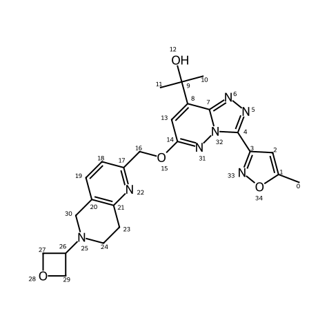 Cc1cc(-c2nnc3c(C(C)(C)O)cc(OCc4ccc5c(n4)CCN(C4COC4)C5)nn23)no1